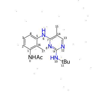 CC(=O)Nc1cccc(Nc2nc(NC(C)(C)C)ncc2C)c1C